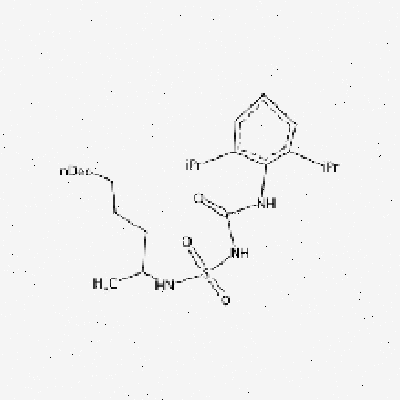 CCCCCCCCCCCCCC(C)NS(=O)(=O)NC(=O)Nc1c(C(C)C)cccc1C(C)C